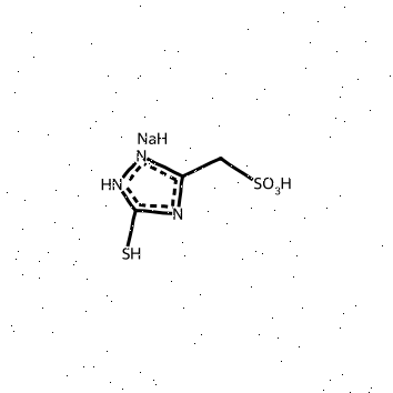 O=S(=O)(O)Cc1n[nH]c(S)n1.[NaH]